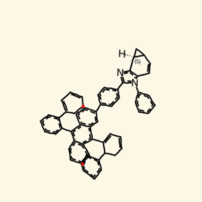 C1=CCCC(c2ccccc2-c2c3ccccc3c(C3=CC=CCC3c3ccccc3)c3cc(-c4ccc(-c5nc6c(n5-c5ccccc5)C=CC5C[C@H]65)cc4)ccc23)=C1